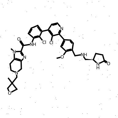 COc1cc(-c2nccc(-c3cccc(NC(=O)c4nc5c(n4C)CCN(CC4(C)COC4)C5)c3Cl)c2Cl)ccc1CNC[C@H]1CCC(=O)N1